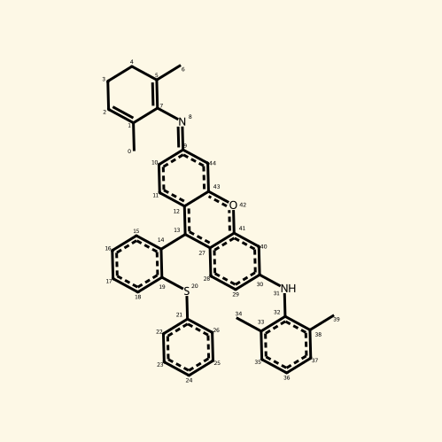 CC1=CCCC(C)=C1/N=c1\ccc2c(-c3ccccc3Sc3ccccc3)c3ccc(Nc4c(C)cccc4C)cc3oc-2c1